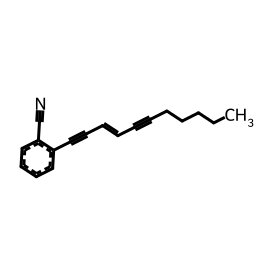 CCCCCC#CC=CC#Cc1ccccc1C#N